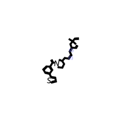 C=C/C(=C\C=C/CC1CCCN(C(=C)c2cccc(-c3cccs3)c2)C1)CC(C)(C)C=C